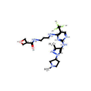 Cc1nn(C2CCN(C)C2)cc1Nc1ncc(C(F)(F)F)c(NCCCNC(=O)C2COC2)n1